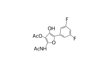 CC(=O)Nc1oc(-c2cc(F)cc(F)c2)c(O)c1OC(C)=O